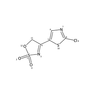 O=S1(=O)N=C(c2cnc(Cl)s2)CO1